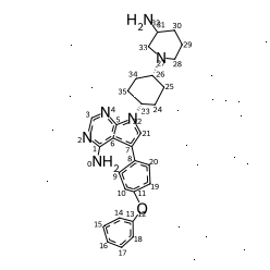 Nc1ncnc2c1c(-c1ccc(Oc3ccccc3)cc1)cn2[C@H]1CC[C@@H](N2CCCC(N)C2)CC1